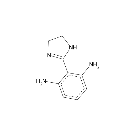 Nc1cccc(N)c1C1=NCCN1